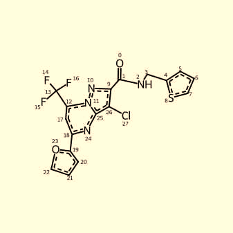 O=C(NCc1cccs1)c1nn2c(C(F)(F)F)cc(-c3ccco3)nc2c1Cl